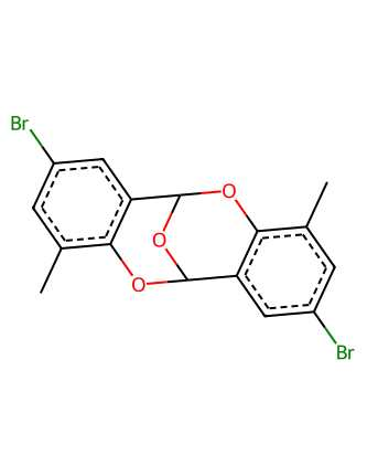 Cc1cc(Br)cc2c1OC1OC2Oc2c(C)cc(Br)cc21